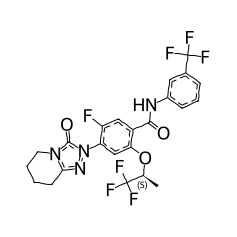 C[C@H](Oc1cc(-n2nc3n(c2=O)CCCC3)c(F)cc1C(=O)Nc1cccc(C(F)(F)F)c1)C(F)(F)F